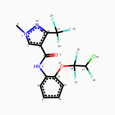 Cn1cc(C(=O)Nc2ccccc2OC(F)(F)C(F)Cl)c(C(F)(F)F)n1